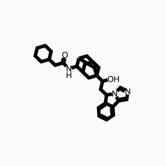 O=C(CC1CCCCC1)NC1C2CC3CC1CC(C(O)CC1c4ccccc4-c4cncn41)(C3)C2